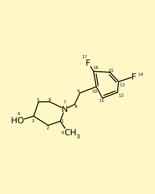 CC1CC(O)CCN1CCc1ccc(F)cc1F